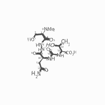 CN[C@@H](CO)C(=O)NNC(=O)[C@H](CC(N)=O)NC(=O)N[C@H](C(=O)O)C(C)O